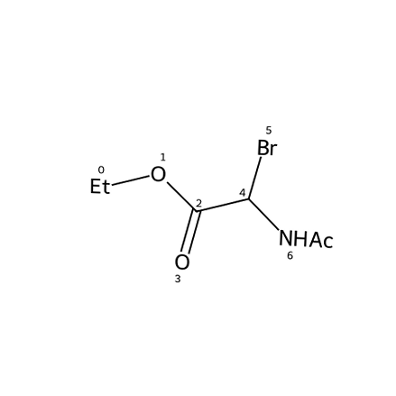 CCOC(=O)C(Br)NC(C)=O